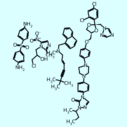 CCC(C)n1ncn(-c2ccc(N3CCN(c4ccc(OC[C@H]5CO[C@](Cn6cncn6)(c6ccc(Cl)cc6Cl)O5)cc4)CC3)cc2)c1=O.CN(C/C=C/C#CC(C)(C)C)Cc1cccc2ccccc12.Cc1ncc([N+](=O)[O-])n1CC(O)CCl.Nc1ccc(S(=O)(=O)c2ccc(N)cc2)cc1